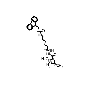 CC(C)C[C@H](C(=O)NNC(=O)CCCCCNC(=O)OCC1c2ccccc2-c2ccccc21)N(C)C